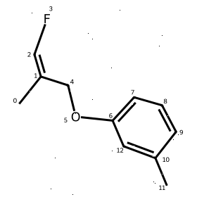 C/C(=C/F)COc1cccc(C)c1